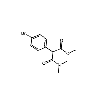 COC(=O)C(C(=O)N(C)C)c1ccc(Br)cc1